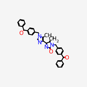 C=C1C(c2ncn(Cc3ccc(C(=O)c4ccccc4)cc3)c2C)=NC(=O)N1Cc1ccc(C(=O)c2ccccc2)cc1